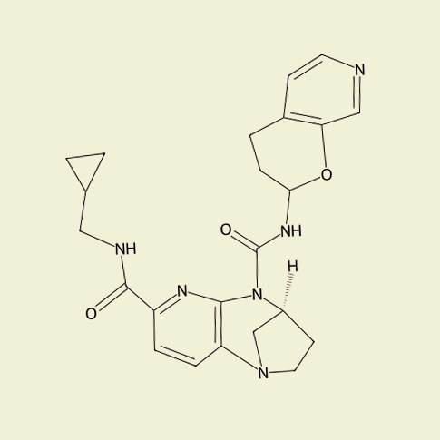 O=C(NCC1CC1)c1ccc2c(n1)N(C(=O)NC1CCc3ccncc3O1)[C@H]1CCN2C1